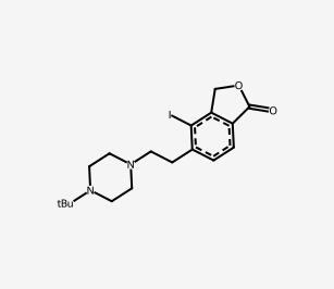 CC(C)(C)N1CCN(CCc2ccc3c(c2I)COC3=O)CC1